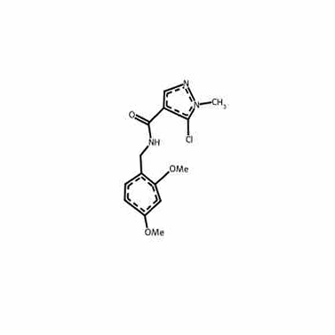 COc1ccc(CNC(=O)c2cnn(C)c2Cl)c(OC)c1